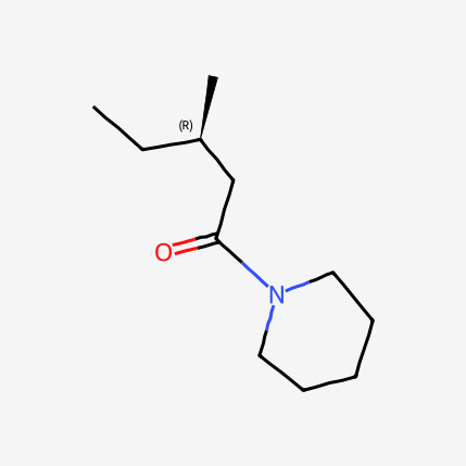 CC[C@@H](C)CC(=O)N1CCCCC1